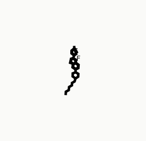 CCCCCCCC1CCC(c2ccc3c(F)c(-c4ccc(C)cc4)ccc3c2)CC1